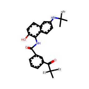 CCCC(C)(C)Nc1ccc2c(NC(=O)c3cccc(C(=O)C(C)(CC)CC)c3)c(O)ccc2c1